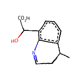 CC1CC=Nc2c1cccc2C(O)C(=O)O